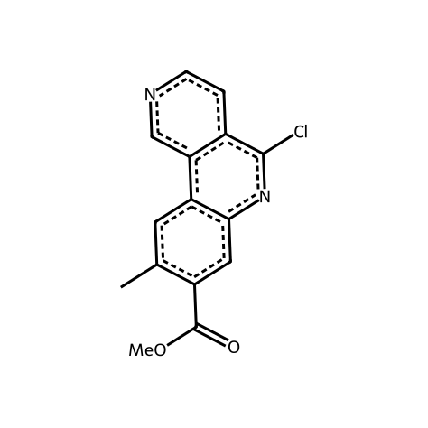 COC(=O)c1cc2nc(Cl)c3ccncc3c2cc1C